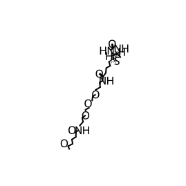 CC(=O)CCCC(=O)NCCCOCCOCCOCCCNC(=O)CCCC[C@@H]1SC[C@@H]2NC(=O)N[C@@H]21